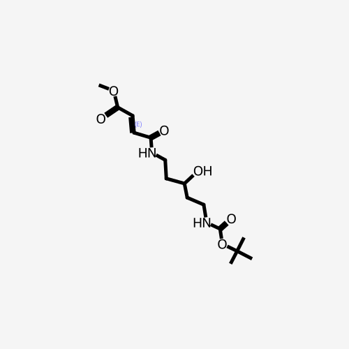 COC(=O)/C=C/C(=O)NCCC(O)CCNC(=O)OC(C)(C)C